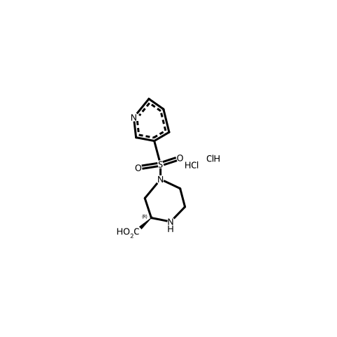 Cl.Cl.O=C(O)[C@H]1CN(S(=O)(=O)c2cccnc2)CCN1